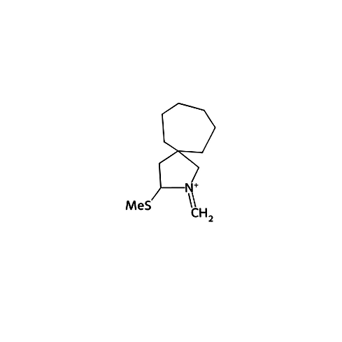 C=[N+]1CC2(CCCCCC2)CC1SC